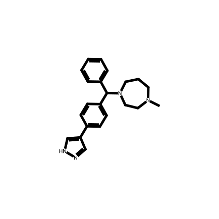 CN1CCCN(C(c2ccccc2)c2ccc(-c3cn[nH]c3)cc2)CC1